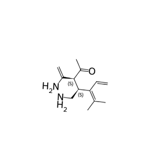 C=CC(=C(C)C)[C@@H](CN)[C@@H](C(=C)N)C(C)=O